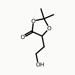 CC1(C)OC(=O)C(CCO)O1